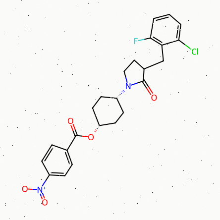 O=C(O[C@H]1CC[C@@H](N2CCC(Cc3c(F)cccc3Cl)C2=O)CC1)c1ccc([N+](=O)[O-])cc1